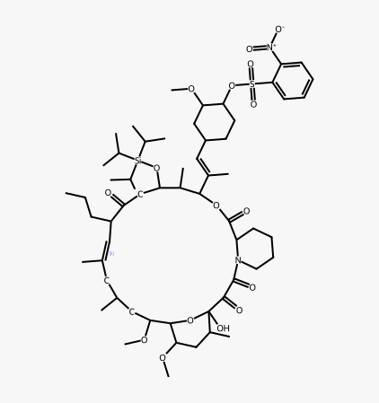 CCCC1/C=C(\C)CC(C)CC(OC)C2OC(O)(C(=O)C(=O)N3CCCCC3C(=O)OC(C(C)=CC3CCC(OS(=O)(=O)c4ccccc4[N+](=O)[O-])C(OC)C3)C(C)C(O[Si](C(C)C)(C(C)C)C(C)C)CC1=O)C(C)CC2OC